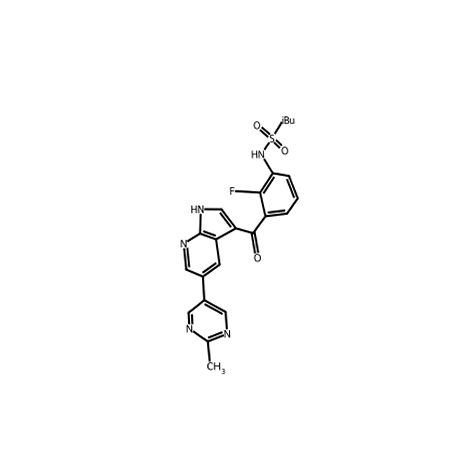 CCC(C)S(=O)(=O)Nc1cccc(C(=O)c2c[nH]c3ncc(-c4cnc(C)nc4)cc23)c1F